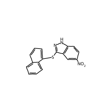 O=[N+]([O-])c1ccc2[nH]nc(Sc3cccc4ccccc34)c2c1